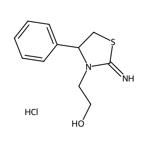 Cl.N=C1SCC(c2ccccc2)N1CCO